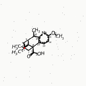 C/C=C1\C2C=C(C)CC1(C(=O)O)c1ccc(OC)nc1C2C